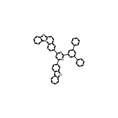 c1ccc(-c2cc(-c3ccccc3)cc(-c3nc(-c4ccc5c(ccc6nc7ccccc7n65)c4)cc(-c4ccc5c(c4)oc4ccccc45)n3)c2)cc1